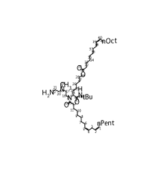 CCCCC/C=C\C/C=C\CCCCCCCC(=O)N(CCN(C)CCN)C(CCCCCOC(=O)CCCCCCC/C=C\CCCCCCCC)C(=O)NC(C)(C)C